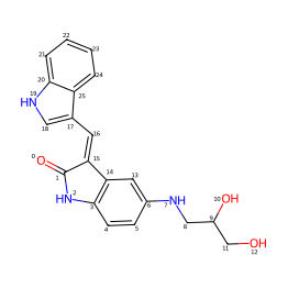 O=C1Nc2ccc(NCC(O)CO)cc2C1=Cc1c[nH]c2ccccc12